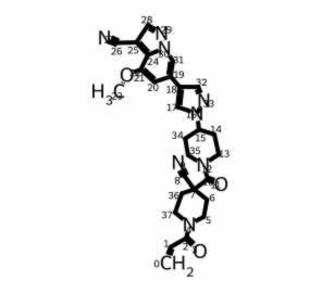 C=CC(=O)N1CCC(C#N)(C(=O)N2CCC(n3cc(-c4cc(OC)c5c(C#N)cnn5c4)cn3)CC2)CC1